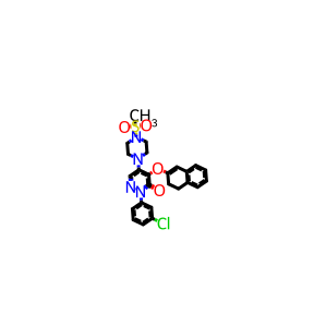 CS(=O)(=O)N1CCN(c2cnn(-c3cccc(Cl)c3)c(=O)c2OC2=Cc3ccccc3CC2)CC1